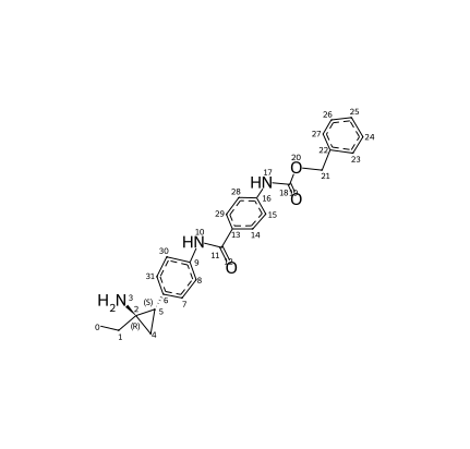 CC[C@@]1(N)C[C@H]1c1ccc(NC(=O)c2ccc(NC(=O)OCc3ccccc3)cc2)cc1